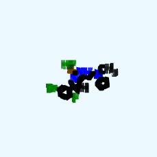 CN(CCc1[nH]c(=S)n2c1[C@@H]1C[C@]1(c1cc(Br)ccc1F)C2)C1CCCC1.F